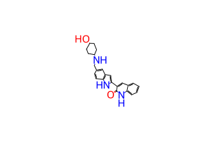 O=c1[nH]c2ccccc2cc1-c1cc2cc(CN[C@H]3CC[C@H](O)CC3)ccc2[nH]1